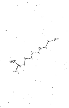 O[C@@H](CCCCCOCCF)C(F)(F)F